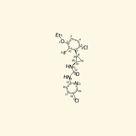 CCOc1ccc(Cl)c([C@H]2C[C@H]2NC(=O)Nc2ccc(Cl)cn2)c1F